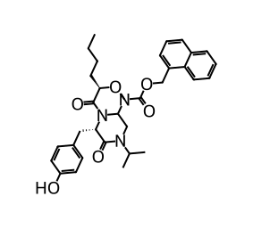 CCCC[C@H]1ON(C(=O)OCc2cccc3ccccc23)C2CN(C(C)C)C(=O)[C@H](Cc3ccc(O)cc3)N2C1=O